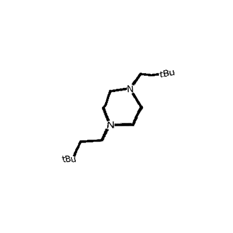 CC(C)(C)CCN1CCN(CC(C)(C)C)CC1